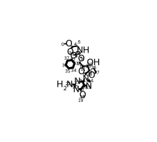 COC(=O)[C@H](C)NP(OCC1OC(n2cnc3c(OC)nc(N)nc32)[C@@]2(CCO2)[C@@H]1O)Oc1ccccc1